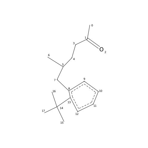 CC(=O)CCC(C)Cc1ccccc1C(C)(C)C